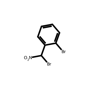 O=[N+]([O-])C(Br)c1ccccc1Br